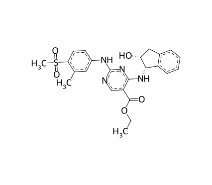 CCOC(=O)c1cnc(Nc2ccc(S(C)(=O)=O)c(C)c2)nc1N[C@H]1c2ccccc2C[C@H]1O